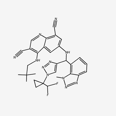 Cn1nnc2cccc(C(Nc3cc(C#N)c4ncc(C#N)c(NCC(C)(C)C)c4c3)c3cn(C4(C(F)F)CC4)nn3)c21